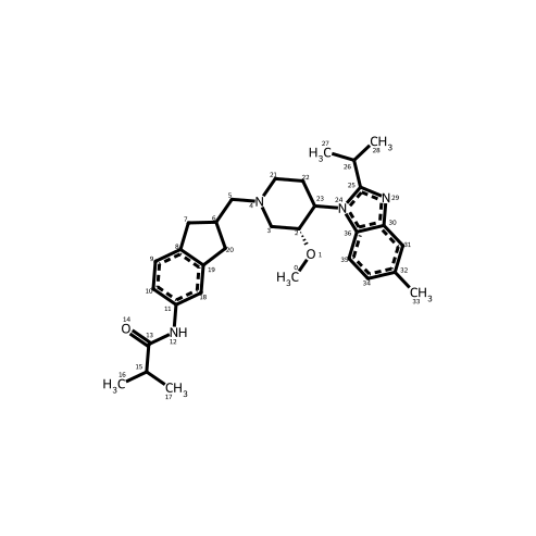 CO[C@@H]1CN(CC2Cc3ccc(NC(=O)C(C)C)cc3C2)CCC1n1c(C(C)C)nc2cc(C)ccc21